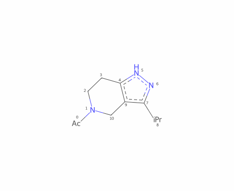 CC(=O)N1CCc2[nH]nc(C(C)C)c2C1